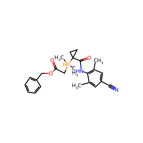 Cc1cc(C#N)cc(C)c1NC(=O)C1([PH](C)(C)CC(=O)OCc2ccccc2)CC1